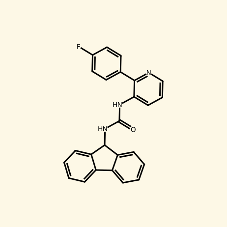 O=C(Nc1cccnc1-c1ccc(F)cc1)NC1c2ccccc2-c2ccccc21